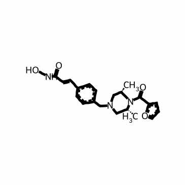 C[C@@H]1CN(Cc2ccc(/C=C/C(=O)NO)cc2)C[C@H](C)N1C(=O)c1ccco1